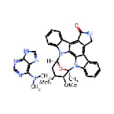 CN(C)c1ncnc2[nH]cnc12.CN[C@H]1C[C@@H]2O[C@](C)([C@H]1OC)n1c3ccccc3c3c4c(c5c6ccccc6n2c5c31)C(=O)NC4